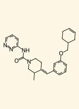 CC1CN(C(=O)Nc2cccnn2)CCC1=Cc1cccc(OCC2CC=CCC2)c1